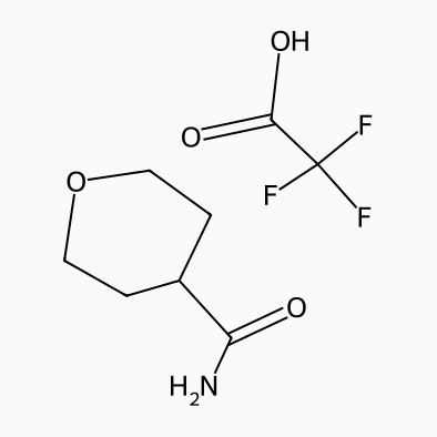 NC(=O)C1CCOCC1.O=C(O)C(F)(F)F